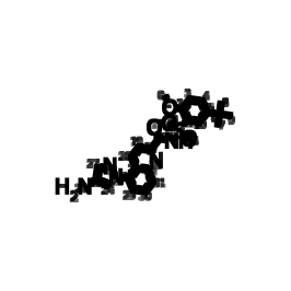 COc1ccc(C(C)(C)C)cc1S(=O)(=O)NC(=O)c1ccc2c(-n3cc(N)cn3)cccc2n1